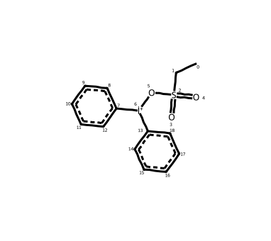 CCS(=O)(=O)O[I+](c1ccccc1)c1ccccc1